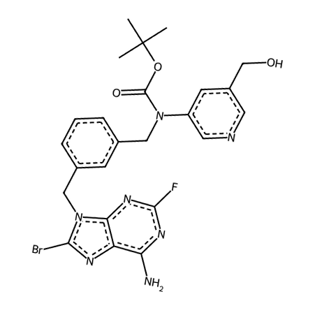 CC(C)(C)OC(=O)N(Cc1cccc(Cn2c(Br)nc3c(N)nc(F)nc32)c1)c1cncc(CO)c1